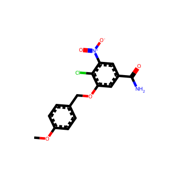 COc1ccc(COc2cc(C(N)=O)cc([N+](=O)[O-])c2Cl)cc1